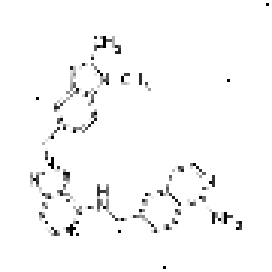 Cc1cc2cc(Cn3cc4c(NCc5ccc6c(N)nccc6c5)nccc4n3)ccc2n1C